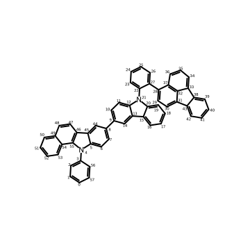 c1ccc(-n2c3ccc(-c4ccc5c(c4)c4ccccc4n5-c4ccccc4-c4ccc5c6c(cccc46)-c4ccccc4-5)cc3c3ccc4ccccc4c32)cc1